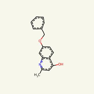 Cc1cc(O)c2ccc(OCc3ccccc3)cc2n1